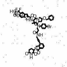 CC(C)(C)[C@H](NC(=O)c1cc2cc(C(F)(F)P(=O)(O)O)ccc2s1)C(=O)N1C[C@H](OCc2ccccc2)C[C@H]1C(=O)N(CCC(=O)NCC#Cc1cccc2c1CN(C1CCC(=O)NC1=O)C2=O)c1ccc(Br)cc1